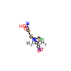 Cc1cc(N2N=C(c3ccc(C#Cc4ccc(/C=C(/C#N)C(=O)O)s4)s3)CC2c2ccc(Br)s2)c(C)cc1-c1ccc([N+](=O)[O-])cc1